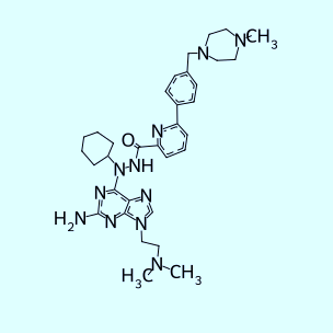 CN(C)CCn1cnc2c(N(NC(=O)c3cccc(-c4ccc(CN5CCN(C)CC5)cc4)n3)C3CCCCC3)nc(N)nc21